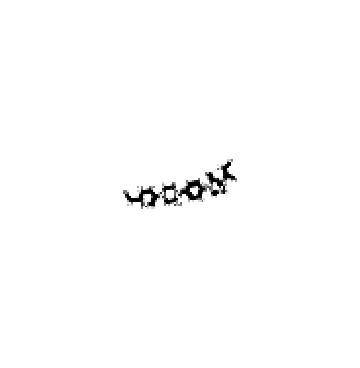 C=C1N(c2ccc(N3CCN(c4ccc(CC)nc4)CC3)cc2)C=NN1C(C)CC